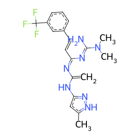 C=C(/N=C(/C=C/c1cccc(C(F)(F)F)c1)\N=C(/N)N(C)C)Nc1cc(C)[nH]n1